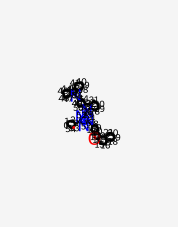 c1ccc(-c2nc(-c3ccc4c(c3)oc3ccc5ccccc5c34)nc(-n3c4ccccc4c4cc(-n5c6ccccc6c6ccccc65)ccc43)n2)cc1